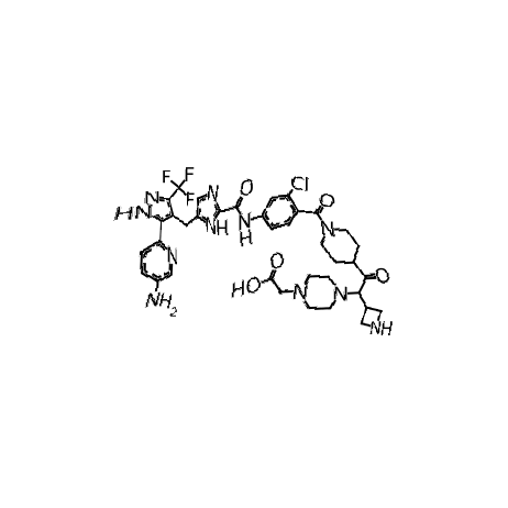 Nc1ccc(-c2[nH]nc(C(F)(F)F)c2Cc2cnc(C(=O)Nc3ccc(C(=O)N4CCC(C(=O)C(C5CNC5)N5CCN(CC(=O)O)CC5)CC4)c(Cl)c3)[nH]2)nc1